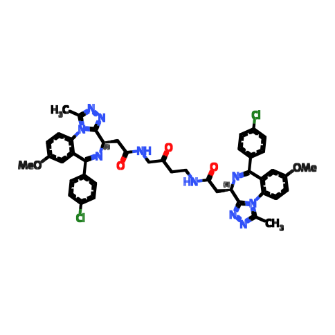 COc1ccc2c(c1)C(c1ccc(Cl)cc1)=N[C@H](CC(=O)NCCC(=O)CNC(=O)C[C@H]1N=C(c3ccc(Cl)cc3)c3cc(OC)ccc3-n3c(C)nnc31)c1nnc(C)n1-2